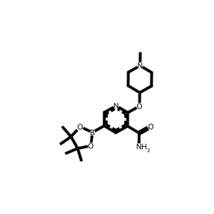 CN1CCC(Oc2ncc(B3OC(C)(C)C(C)(C)O3)cc2C(N)=O)CC1